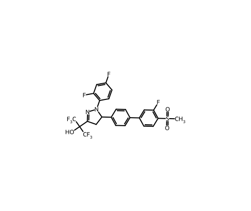 CS(=O)(=O)c1ccc(-c2ccc(C3CC(C(O)(C(F)(F)F)C(F)(F)F)=NN3c3ccc(F)cc3F)cc2)cc1F